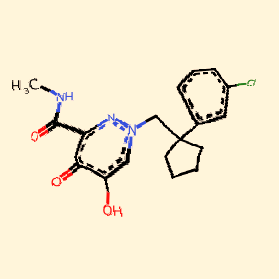 CNC(=O)c1nn(CC2(c3cccc(Cl)c3)CCCC2)cc(O)c1=O